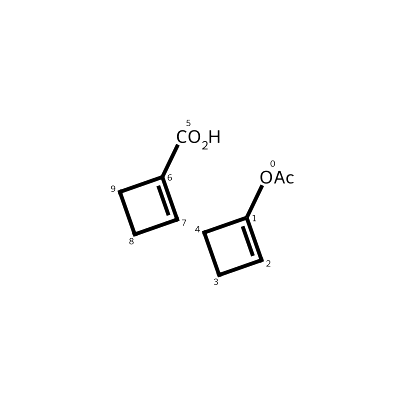 CC(=O)OC1=CCC1.O=C(O)C1=CCC1